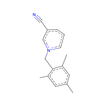 Cc1cc(C)c(C[n+]2cccc(C#N)c2)c(C)c1